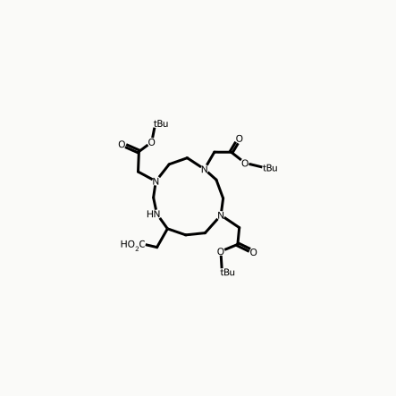 CC(C)(C)OC(=O)CN1CCC(CC(=O)O)NCN(CC(=O)OC(C)(C)C)CCN(CC(=O)OC(C)(C)C)CC1